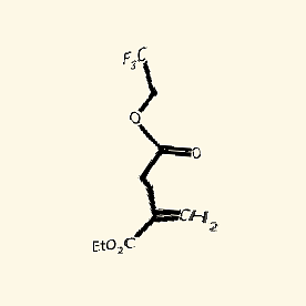 C=C(CC(=O)OCC(F)(F)F)C(=O)OCC